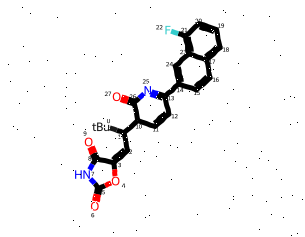 CC(C)(C)C(C=C1OC(=O)NC1=O)C1C=CC(c2ccc3cccc(F)c3c2)=NC1=O